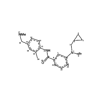 CCCN(CC1CC1)c1cc(C(=O)Nc2ccc(CNC)cc2C)ncn1